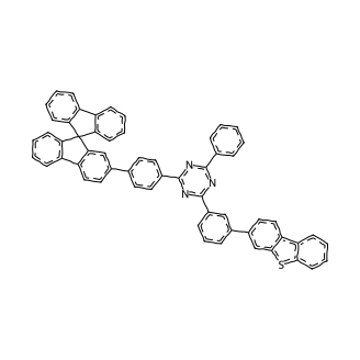 c1ccc(-c2nc(-c3ccc(-c4ccc5c(c4)C4(c6ccccc6-c6ccccc64)c4ccccc4-5)cc3)nc(-c3cccc(-c4ccc5c(c4)sc4ccccc45)c3)n2)cc1